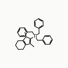 CC1=[C]([Ti]([CH2]c2ccccc2)([CH2]c2ccccc2)[CH2]c2ccccc2)C(C)C2=C1CCCC2